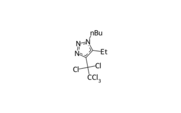 CCCCn1nnc(C(Cl)(Cl)C(Cl)(Cl)Cl)c1CC